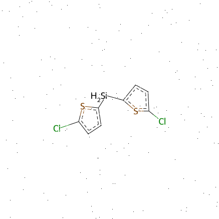 Clc1ccc([SiH2]c2ccc(Cl)s2)s1